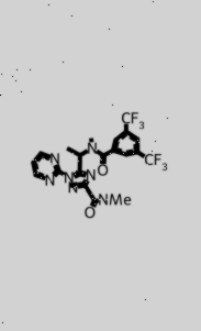 CNC(=O)c1nc(C(C)N(C)C(=O)c2cc(C(F)(F)F)cc(C(F)(F)F)c2)n(-c2ncccn2)n1